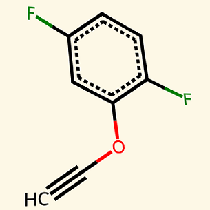 C#COc1cc(F)ccc1F